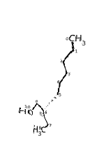 CCCCCC[C@H](CC)CO